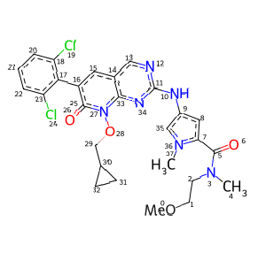 COCCN(C)C(=O)c1cc(Nc2ncc3cc(-c4c(Cl)cccc4Cl)c(=O)n(OCC4CC4)c3n2)cn1C